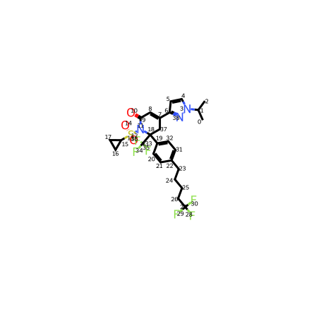 CC(C)n1ccc(C2=CC(=O)N(S(=O)(=O)C3CC3)C(c3ccc(CCCCC(F)(F)F)cc3)(C(F)(F)F)C2)n1